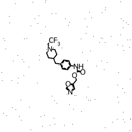 O=C(Nc1ccc(CC2CCN(CC(F)(F)F)CC2)cc1)OCc1cnco1